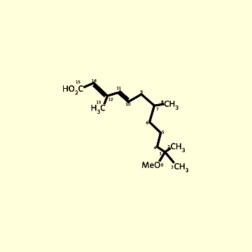 COC(C)(C)CCCC(C)CC=C/C(C)=C/C(=O)O